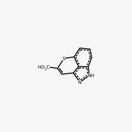 O=C(O)C1=Cc2n[nH]c3cccc(c23)S1